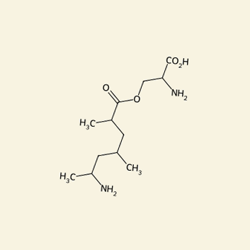 CC(N)CC(C)CC(C)C(=O)OCC(N)C(=O)O